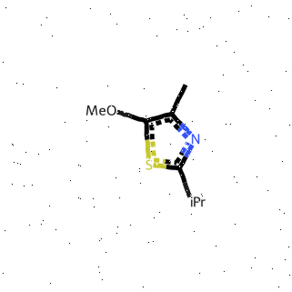 COc1sc(C(C)C)nc1C